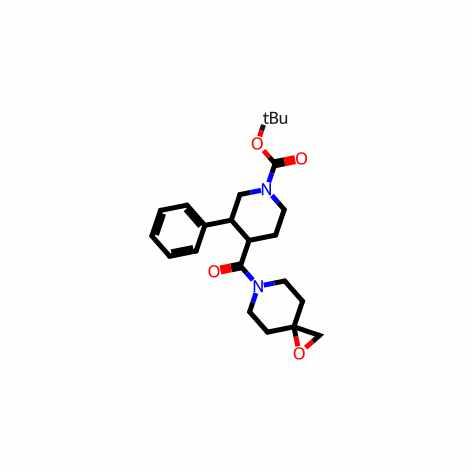 CC(C)(C)OC(=O)N1CCC(C(=O)N2CCC3(CC2)CO3)C(c2ccccc2)C1